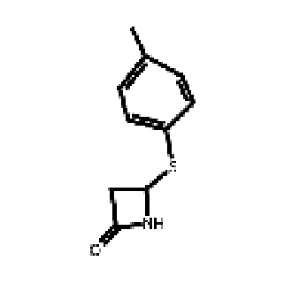 Cc1ccc(SC2CC(=O)N2)cc1